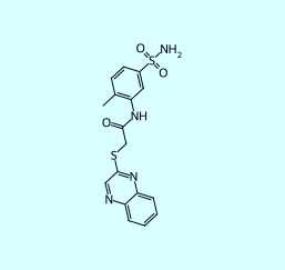 Cc1ccc(S(N)(=O)=O)cc1NC(=O)CSc1cnc2ccccc2n1